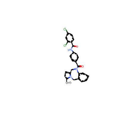 O=Cc1ccc2n1Cc1ccccc1N(C(=O)c1ccc(NC(=O)c3ccc(Cl)cc3Cl)cc1)C2